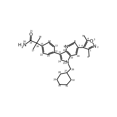 Cc1noc(C)c1-c1cnc2c(-c3ccc(C(C)(C)C(N)=O)cc3)cn(CC3CCCCC3)c2c1